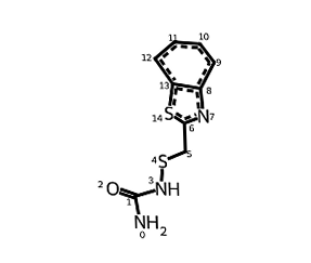 NC(=O)NSCc1nc2ccccc2s1